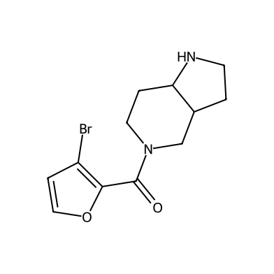 O=C(c1occc1Br)N1CCC2NCCC2C1